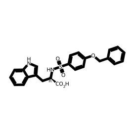 O=C(O)[C@@H](Cc1c[nH]c2ccccc12)NS(=O)(=O)c1ccc(OCc2ccccc2)cc1